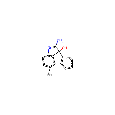 CCCCc1ccc2c(c1)C(O)(c1ccccc1)C(N)=N2